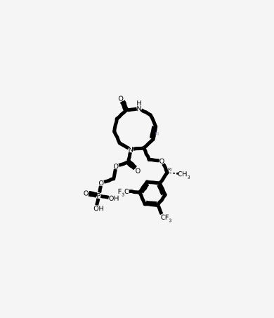 C[C@@H](OCC1/C=C\CNC(=O)CCCN1C(=O)OCOP(=O)(O)O)c1cc(C(F)(F)F)cc(C(F)(F)F)c1